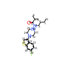 CCCCN(C(=O)C(C)C)N1CCN(c2csc3cc(F)ccc23)CC1